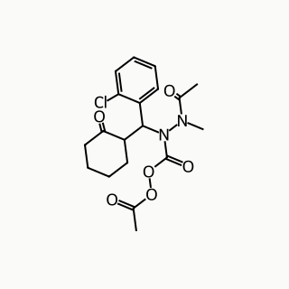 CC(=O)OOC(=O)N(C(c1ccccc1Cl)C1CCCCC1=O)N(C)C(C)=O